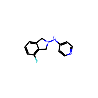 Fc1[c]ccc2c1CN(Nc1ccncc1)C2